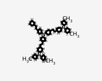 Cc1ccc(N(c2ccc(C)cc2)c2ccc(C=Cc3ccc(N(c4ccc(C=Cc5ccccc5)cc4)c4ccc(C=Cc5ccc(N(c6ccc(C)cc6)c6ccc(C)cc6)cc5)cc4)cc3)cc2)cc1